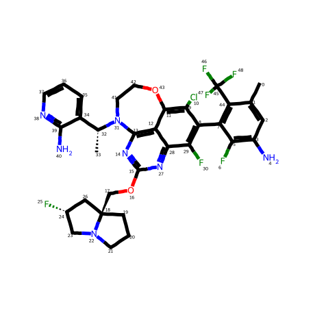 Cc1cc(N)c(F)c(-c2c(Cl)c3c4c(nc(OC[C@@]56CCCN5C[C@H](F)C6)nc4c2F)N([C@H](C)c2cccnc2N)CCO3)c1C(F)(F)F